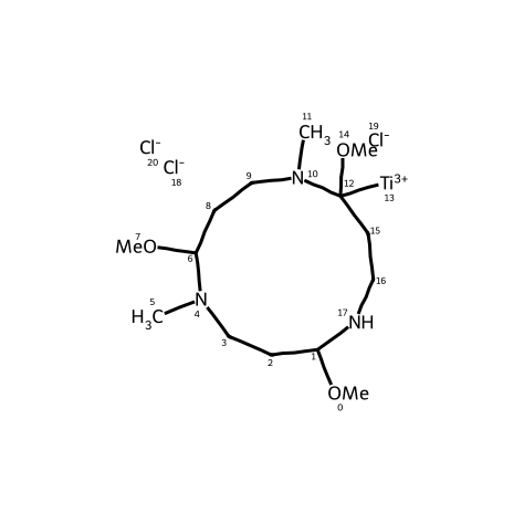 COC1CCN(C)C(OC)CCN(C)[C]([Ti+3])(OC)CCN1.[Cl-].[Cl-].[Cl-]